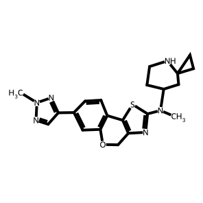 CN(c1nc2c(s1)-c1ccc(-c3cnn(C)n3)cc1OC2)C1CCNC2(CC2)C1